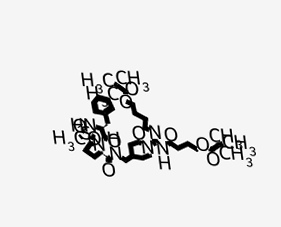 CC(C)(C)C(=O)OCCCC(=O)/N=C(/NC(=O)CCCOC(=O)C(C)(C)C)N1CCC(CNC(=O)[C@@H]2CCCN2C(=O)[C@@H](Cc2ccccc2)NS(C)(=O)=O)CC1